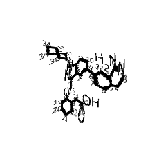 Nc1nccc2ccc(-c3ccc4c(c3)c(COc3ccccc3CC(=O)O)nn4C3CC4(CCC4)C3)cc12